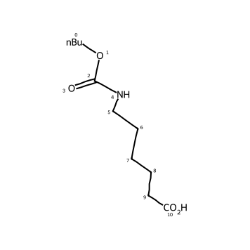 CCCCOC(=O)NCCCCCC(=O)O